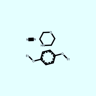 C1COCCN1.CCOc1ccc(OCC)cc1.N#N